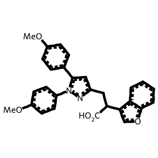 COc1ccc(-c2cc(CC(C(=O)O)c3coc4ccccc34)nn2-c2ccc(OC)cc2)cc1